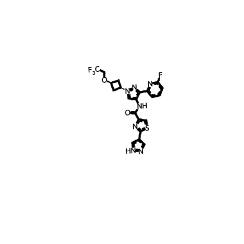 O=C(Nc1cn([C@H]2C[C@H](OCC(F)(F)F)C2)nc1-c1cccc(F)n1)c1csc(-c2cn[nH]c2)n1